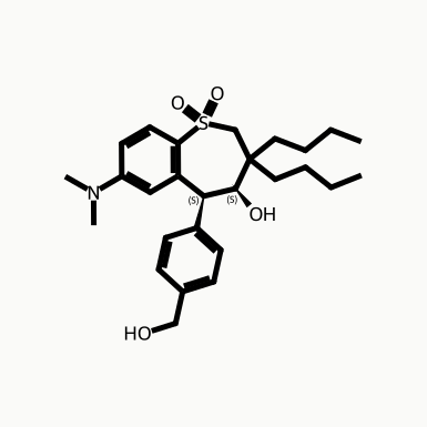 CCCCC1(CCCC)CS(=O)(=O)c2ccc(N(C)C)cc2[C@H](c2ccc(CO)cc2)[C@@H]1O